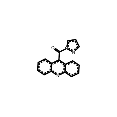 O=C(c1c2ccccc2nc2ccccc12)n1cccn1